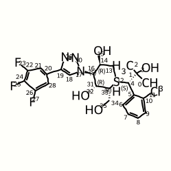 CC(C)(O)[C@H](c1ccccc1Cl)[SH]1C[C@H](O)[C@H](n2cc(-c3cc(F)c(F)c(F)c3)nn2)[C@@H](O)[C@H]1CO